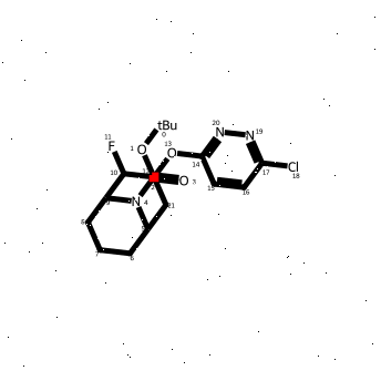 CC(C)(C)OC(=O)N1C2CCCC1C(F)C(Oc1ccc(Cl)nn1)C2